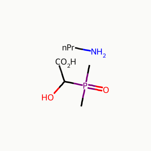 CCCN.CP(C)(=O)C(O)C(=O)O